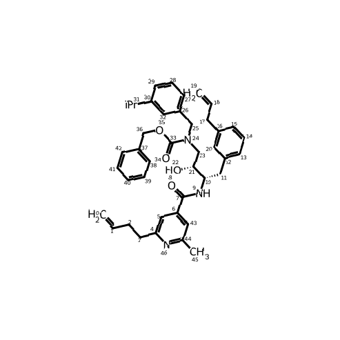 C=CCCc1cc(C(=O)N[C@@H](Cc2cccc(CC=C)c2)[C@H](O)CN(Cc2cccc(C(C)C)c2)C(=O)OCc2ccccc2)cc(C)n1